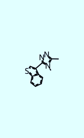 Cc1nnc(-c2csc3ccccc23)n1C